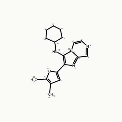 Cc1cc(-c2nc3cnccn3c2NC2CCCCC2)oc1C